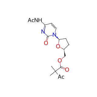 CC(=O)Nc1ccn([C@H]2CC[C@@H](COC(=O)C(C)(C)C(C)=O)O2)c(=O)n1